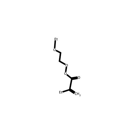 C=C(CC)C(=O)OOCCOCC